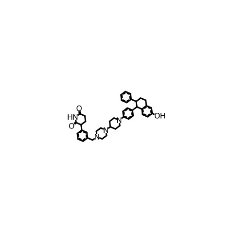 O=C1CCC(c2cccc(CN3CCN(C4CCN(c5ccc(C6c7ccc(O)cc7CCC6c6ccccc6)cc5)CC4)CC3)c2)C(=O)N1